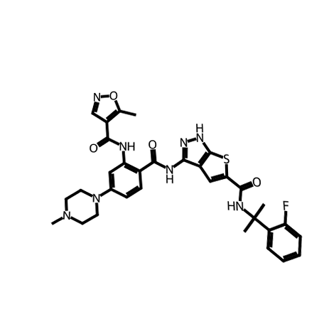 Cc1oncc1C(=O)Nc1cc(N2CCN(C)CC2)ccc1C(=O)Nc1n[nH]c2sc(C(=O)NC(C)(C)c3ccccc3F)cc12